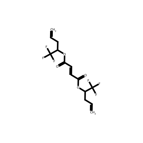 C=CCC(OC(=O)/C=C/C(=O)OC(CC=C)C(F)(F)F)C(F)(F)F